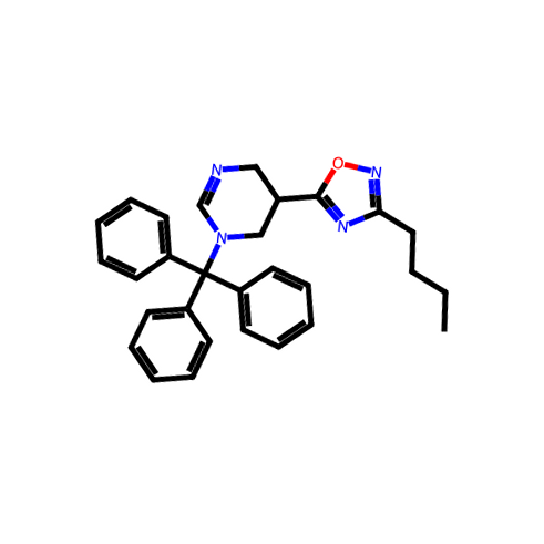 CCCCc1noc(C2CN=CN(C(c3ccccc3)(c3ccccc3)c3ccccc3)C2)n1